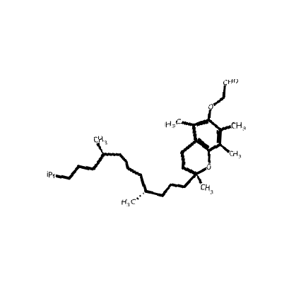 Cc1c(C)c2c(c(C)c1OCC=O)CC[C@@](C)(CCC[C@H](C)CCC[C@H](C)CCCC(C)C)O2